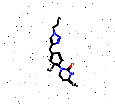 C=C1CCN(c2ccc(Cc3cn(CCC(C)C)nn3)cc2C)C(=O)N1